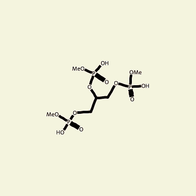 COP(=O)(O)OCC(COP(=O)(O)OC)OP(=O)(O)OC